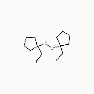 ICC1(OOC2(CI)CCCC2)CCCC1